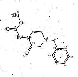 CC(C)(C)OC(=O)NN1C=CN(Cc2ccccc2)CC1=O